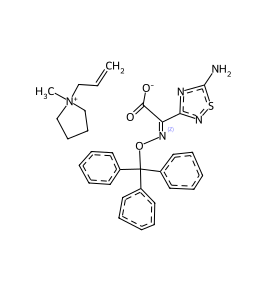 C=CC[N+]1(C)CCCC1.Nc1nc(/C(=N/OC(c2ccccc2)(c2ccccc2)c2ccccc2)C(=O)[O-])ns1